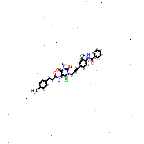 Cc1ccc(CCC(=O)Nc2c(Cl)n(CC#Cc3ccc(NC(=O)c4ccccc4)c(C)c3)c(=O)n(C)c2=O)cc1